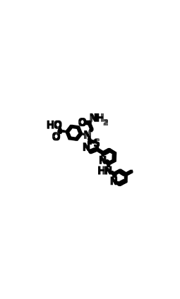 Cc1ccnc(Nc2cccc(-c3cnc(N(CC(N)=O)[C@H]4CC[C@H](C(=O)O)CC4)s3)n2)c1